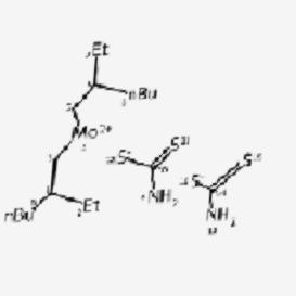 CCCCC(CC)[CH2][Mo+2][CH2]C(CC)CCCC.NC(=S)[S-].NC(=S)[S-]